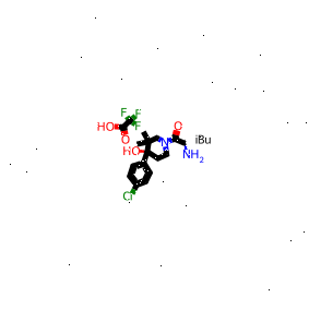 CC[C@H](C)[C@@H](N)C(=O)N1CC[C@](O)(c2ccc(Cl)cc2)C(C)(C)C1.O=C(O)C(F)(F)F